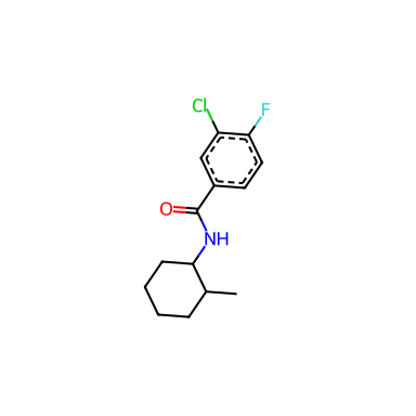 CC1CCCCC1NC(=O)c1ccc(F)c(Cl)c1